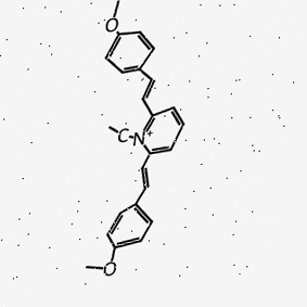 CC[n+]1c(/C=C/c2ccc(OC)cc2)cccc1/C=C/c1ccc(OC)cc1